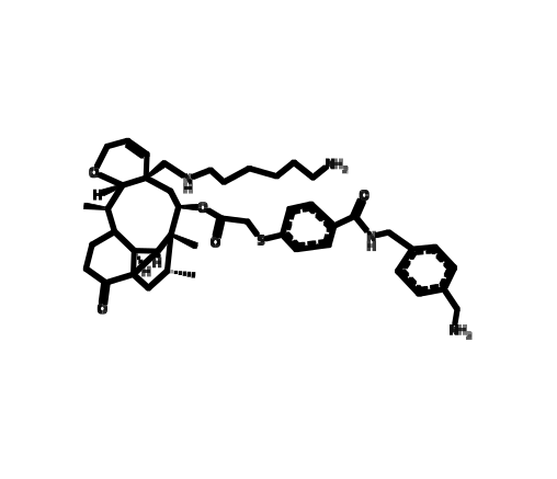 C[C@@H]1C2CCC(=O)C34C[C@@H](C)[C@@](C)([C@H](OC(=O)CSc5ccc(C(=O)NCc6ccc(CN)cc6)cc5)C[C@@]5(CNCCCCCCN)C=CCO[C@@H]15)[C@H]3[C@H]24